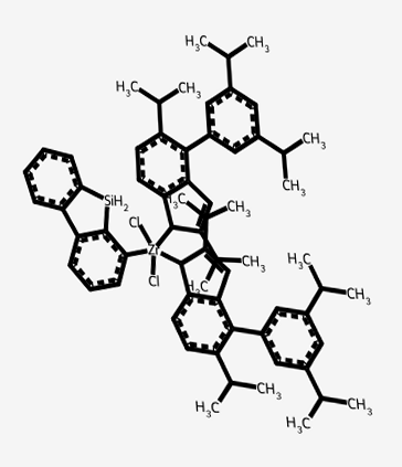 CC(C)C1=Cc2c(ccc(C(C)C)c2-c2cc(C(C)C)cc(C(C)C)c2)[CH]1[Zr]([Cl])([Cl])([c]1cccc2c1[SiH2]c1ccccc1-2)[CH]1C(C(C)C)=Cc2c1ccc(C(C)C)c2-c1cc(C(C)C)cc(C(C)C)c1